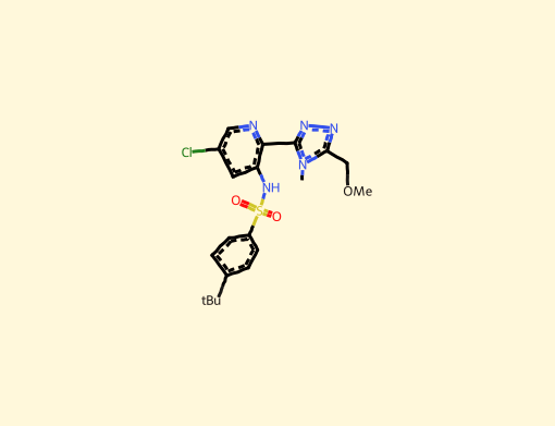 COCc1nnc(-c2ncc(Cl)cc2NS(=O)(=O)c2ccc(C(C)(C)C)cc2)n1C